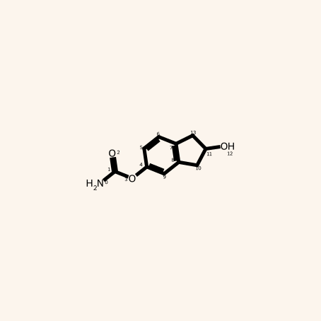 NC(=O)Oc1ccc2c(c1)CC(O)C2